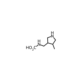 CC1CNCC1CNC(=O)O